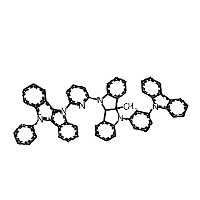 CC12c3ccccc3N(c3cccc(-n4c5ccccc5c5c4c4ccccc4n5-c4ccccc4)n3)C1c1ccccc1N2c1cccc(-n2c3ccccc3c3ccccc32)c1